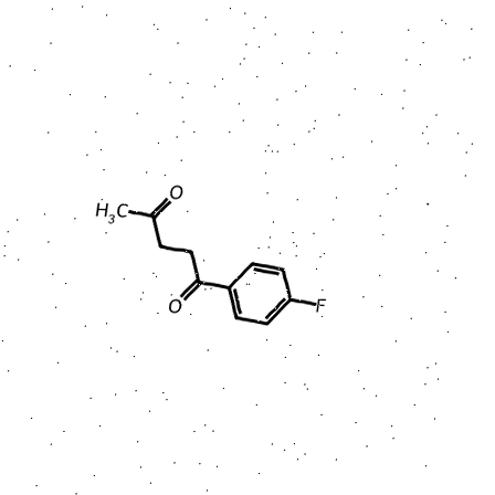 CC(=O)CCC(=O)c1ccc(F)cc1